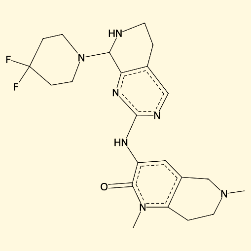 CN1CCc2c(cc(Nc3ncc4c(n3)C(N3CCC(F)(F)CC3)NCC4)c(=O)n2C)C1